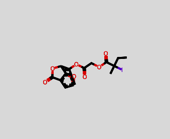 CCC(C)(I)C(=O)OCC(=O)Oc1c2c3oc1cc3C(=O)O2